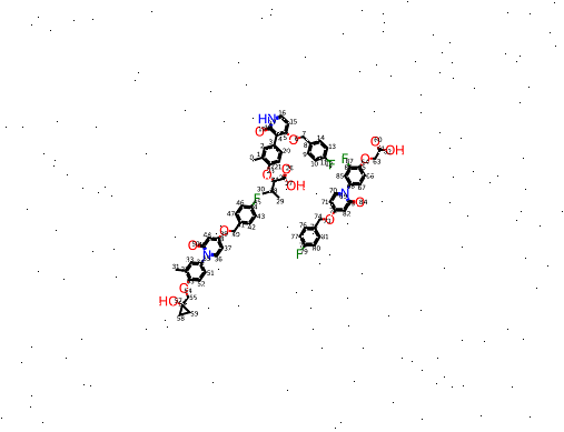 Cc1cc(-c2c(OCc3ccc(F)cc3)cc[nH]c2=O)ccc1OC(C(=O)O)C(C)C.Cc1cc(-n2ccc(OCc3ccc(F)cc3)cc2=O)ccc1OCC1(O)CC1.O=C(O)COc1ccc(-n2ccc(OCc3ccc(F)cc3)cc2=O)cc1F